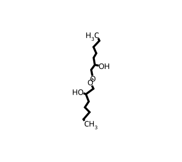 CCCCCC(O)COOCC(O)CCCCC